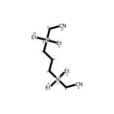 CC[N+](CC)(CC#N)CCC[N+](CC)(CC)CC#N